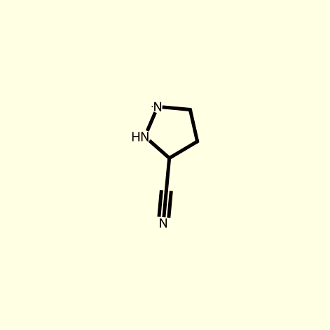 N#CC1CC[N]N1